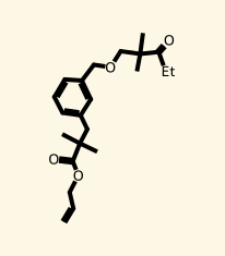 C=CCOC(=O)C(C)(C)Cc1cccc(COCC(C)(C)C(=O)CC)c1